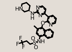 Cc1cc(NS(=O)(=O)CCC(F)(F)F)c2ccccc2c1Oc1ncccc1-c1ccnc(N[C@H]2CCCNC2)n1